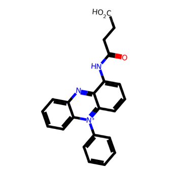 O=C(O)CCC(=O)Nc1cccc2c1nc1ccccc1[n+]2-c1ccccc1